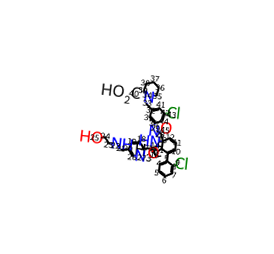 CC1C(c2ccccc2Cl)=CC=CC1(NC(=O)c1ccc(CNCCO)cn1)c1nc2cc(CN3CCCC[C@H]3C(=O)O)cc(Cl)c2o1